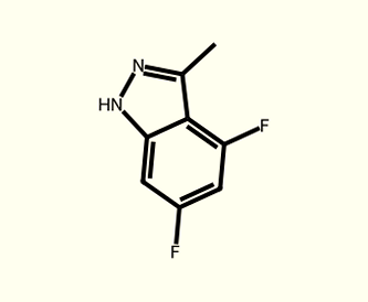 Cc1n[nH]c2cc(F)cc(F)c12